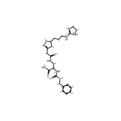 O=C(CC1=NOC(CCCNC2=NCCN2)C1)NCC(NC(=O)OCc1ccccc1)C(=O)O